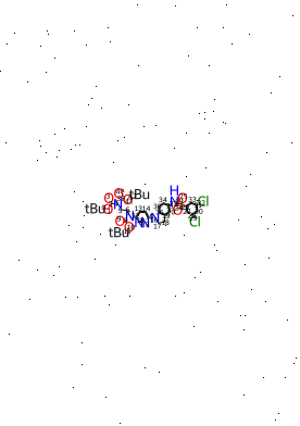 CC(C)(C)OC(=O)N(CCN(C(=O)OC(C)(C)C)c1ccc(N2CCc3cc(NS(=O)(=O)c4cc(Cl)cc(Cl)c4)ccc32)nn1)C(=O)OC(C)(C)C